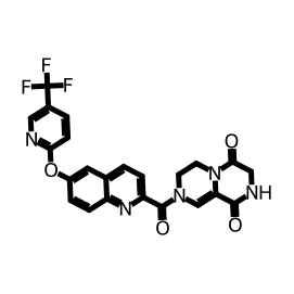 O=C1NCC(=O)N2CCN(C(=O)c3ccc4cc(Oc5ccc(C(F)(F)F)cn5)ccc4n3)C=C12